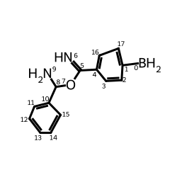 Bc1ccc(C(=N)OC(N)c2ccccc2)cc1